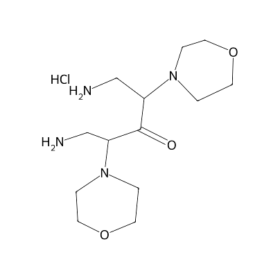 Cl.NCC(C(=O)C(CN)N1CCOCC1)N1CCOCC1